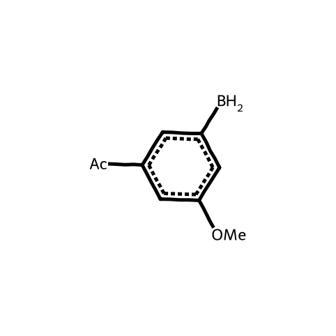 Bc1cc(OC)cc(C(C)=O)c1